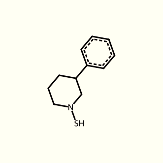 SN1CCCC(c2ccccc2)C1